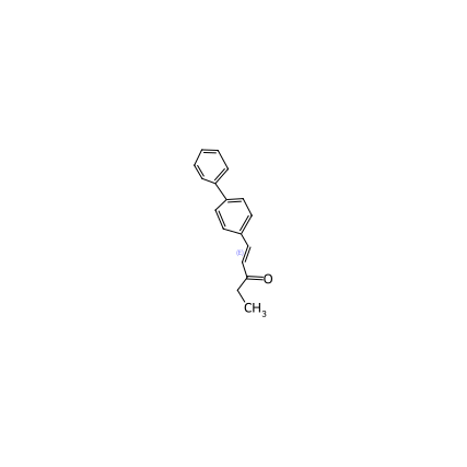 CCC(=O)/C=C/c1ccc(-c2ccccc2)cc1